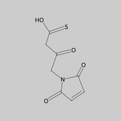 O=C(CC(O)=S)CN1C(=O)C=CC1=O